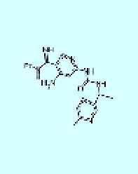 CCNC(=N)c1cnc(NC(=O)NC(C)c2ccc(C)nc2)cc1N